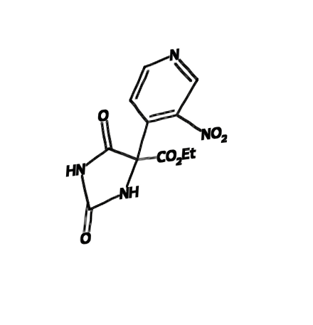 CCOC(=O)C1(c2ccncc2[N+](=O)[O-])NC(=O)NC1=O